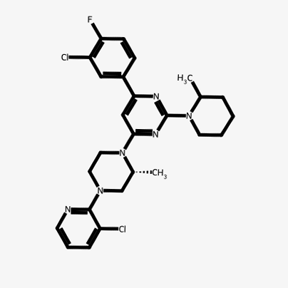 CC1CCCCN1c1nc(-c2ccc(F)c(Cl)c2)cc(N2CCN(c3ncccc3Cl)C[C@H]2C)n1